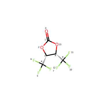 O=C1O[C@@H](C(F)(F)F)[C@@H](C(F)(F)F)O1